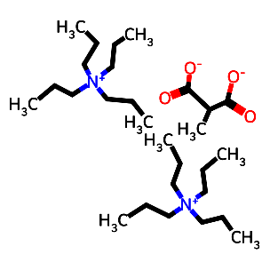 CC(C(=O)[O-])C(=O)[O-].CCC[N+](CCC)(CCC)CCC.CCC[N+](CCC)(CCC)CCC